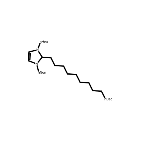 CCCCCCCCCCCCCCCCCCCC1N(CCCCCC)C=CN1CCCCCCCCC